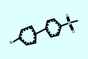 CS(=O)(=O)c1ccc(-c2ccc(Br)cc2)cc1